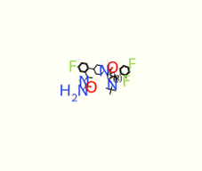 CC(c1cc(F)ccc1C1CCN(C(=O)[C@@H]2CN(C(C)(C)C)C[C@H]2c2ccc(F)cc2F)CC1)N(C)C(N)=O